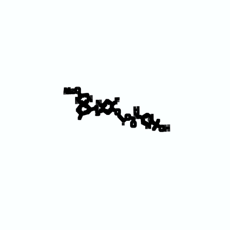 COc1cnc2c(-c3nc4cc(F)c(OC[C@@H](C)OC(=O)Nc5cnc(C(C)(C)O)nc5)cc4s3)cc(C)cc2n1